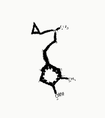 COc1ccc(CCN(C)C2CC2)cc1C